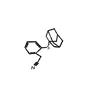 N#CCc1ccccc1SC12CC3CC(CC(C3)C1)C2